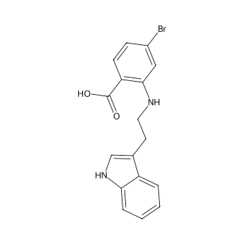 O=C(O)c1ccc(Br)cc1NCCc1c[nH]c2ccccc12